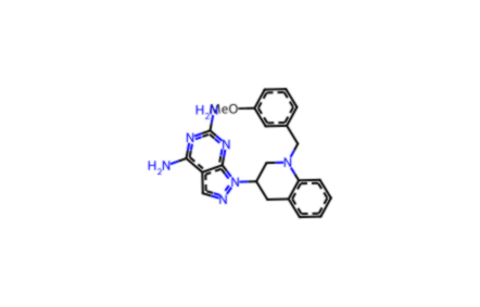 COc1cccc(CN2CC(n3ncc4c(N)nc(N)nc43)Cc3ccccc32)c1